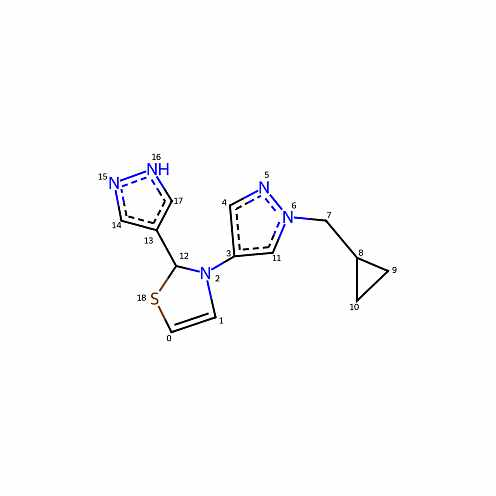 C1=CN(c2cnn(CC3CC3)c2)C(c2cn[nH]c2)S1